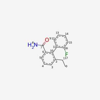 CCc1cccc(C(N)=O)c1-c1ccccc1F